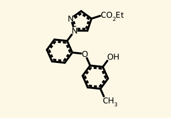 CCOC(=O)c1cnn(-c2ccccc2Oc2ccc(C)cc2O)c1